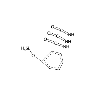 N=C=O.N=C=O.N=C=O.[SiH3]Oc1ccccc1